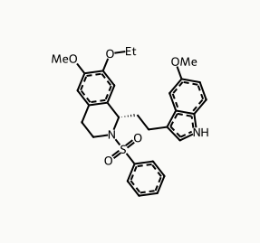 CCOc1cc2c(cc1OC)CCN(S(=O)(=O)c1ccccc1)[C@H]2CCc1c[nH]c2ccc(OC)cc12